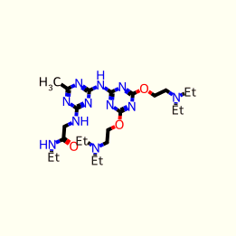 CCNC(=O)CNc1nc(C)nc(Nc2nc(OCCN(CC)CC)nc(OCCN(CC)CC)n2)n1